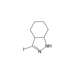 IC1=NNC2CCCCC12